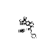 CCn1c(=O)[nH]c2cc3c(NCCN4CCOCC4)ncnc3cc21.Cl.Cl